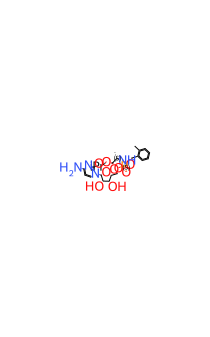 Cc1ccccc1CO[P@@](=O)(N[C@@H](C)C(=O)OC(C)C)OCC1OC(n2ccc(N)nc2=O)C(O)C1O